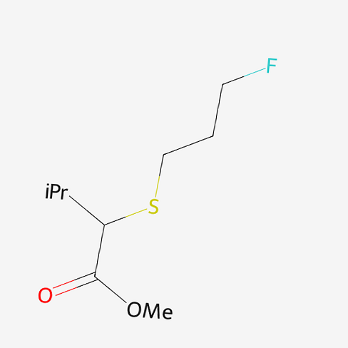 COC(=O)C(SCCCF)C(C)C